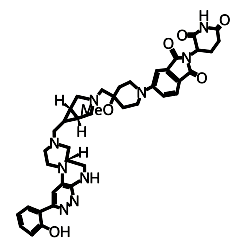 COC1(CN2C[C@@H]3C(CN4CCN5c6cc(-c7ccccc7O)nnc6NC[C@H]5C4)[C@@H]3C2)CCN(c2ccc3c(c2)C(=O)N(C2CCC(=O)NC2=O)C3=O)CC1